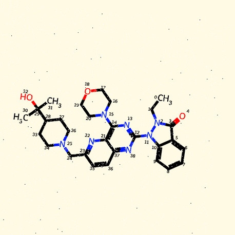 CCn1c(=O)c2ccccc2n1-c1nc(N2CCOCC2)c2nc(CN3CCC(C(C)(C)O)CC3)ccc2n1